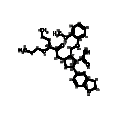 CCCON(CCC)C(=O)CN1C[C@H](c2ccc3c(c2)CCO3)[C@@H](C(=O)O)[C@@H]1COc1ccccc1OC